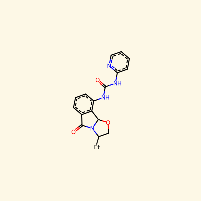 CCC1COC2c3c(NC(=O)Nc4ccccn4)cccc3C(=O)N12